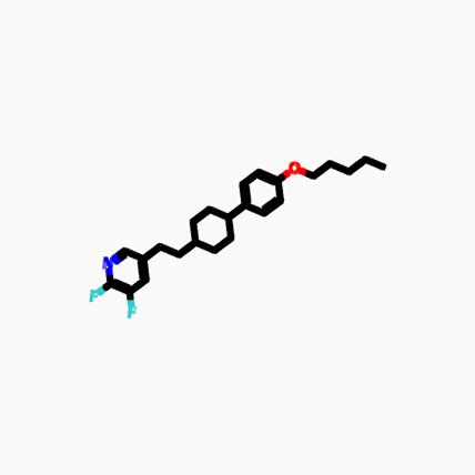 CCCCCOc1ccc(C2CCC(CCc3cnc(F)c(F)c3)CC2)cc1